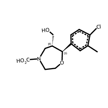 Cc1cc([C@H]2OCCN(C(=O)O)C[C@@H]2CO)ccc1Cl